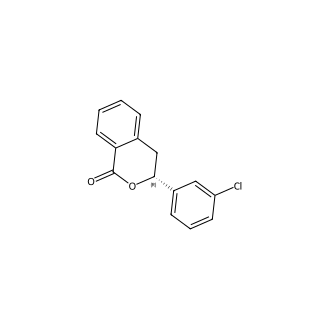 O=C1O[C@@H](c2cccc(Cl)c2)Cc2ccccc21